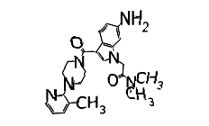 Cc1cccnc1N1CCN(C(=O)c2cn(CC(=O)N(C)C)c3cc(N)ccc23)CC1